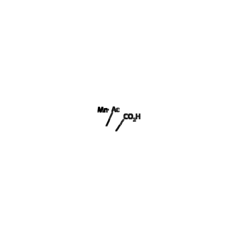 CC(=O)O.CC(C)=O.[Mn]